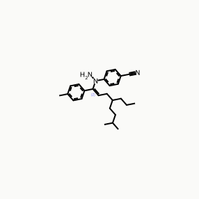 CCCC(C/C=C(/c1ccc(C)cc1)N(N)c1ccc(C#N)cc1)CCC(C)C